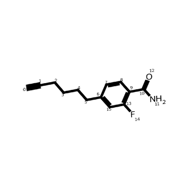 C#CCCCCc1ccc(C(N)=O)c(F)c1